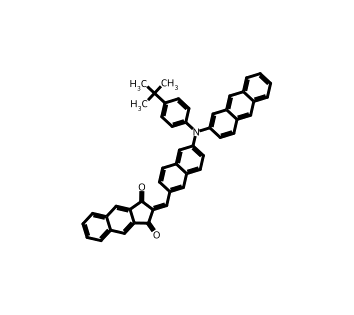 CC(C)(C)c1ccc(N(c2ccc3cc(C=C4C(=O)c5cc6ccccc6cc5C4=O)ccc3c2)c2ccc3cc4ccccc4cc3c2)cc1